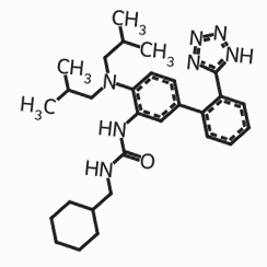 CC(C)CN(CC(C)C)c1ccc(-c2ccccc2-c2nnn[nH]2)cc1NC(=O)NCC1CCCCC1